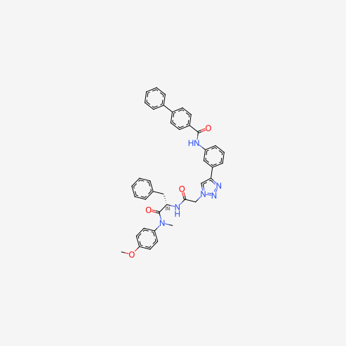 COc1ccc(N(C)C(=O)[C@H](Cc2ccccc2)NC(=O)Cn2cc(-c3cccc(NC(=O)c4ccc(-c5ccccc5)cc4)c3)nn2)cc1